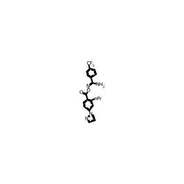 CCCc1cc(-n2cccn2)ccc1C(=O)O/N=C(\N)c1ccc(C(F)(F)F)cc1